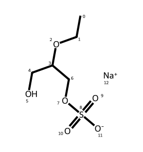 CCOC(CO)COS(=O)(=O)[O-].[Na+]